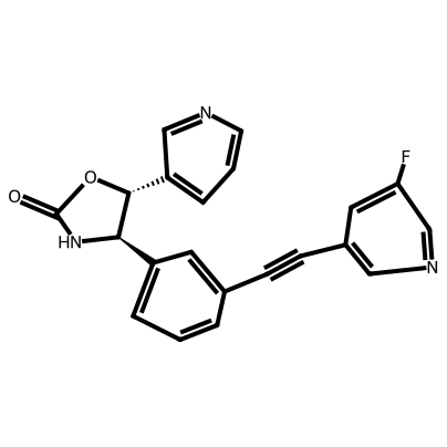 O=C1N[C@H](c2cccc(C#Cc3cncc(F)c3)c2)[C@@H](c2cccnc2)O1